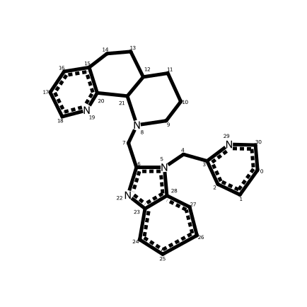 c1ccc(Cn2c(CN3CCCC4CCc5cccnc5C43)nc3ccccc32)nc1